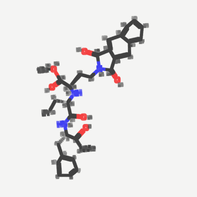 CNC(=O)[C@H](Cc1ccccc1)NC(=O)[C@H](CC(C)C)N[C@H](CCN1C(=O)c2cc3ccccc3cc2C1=O)C(=O)OC(C)(C)C